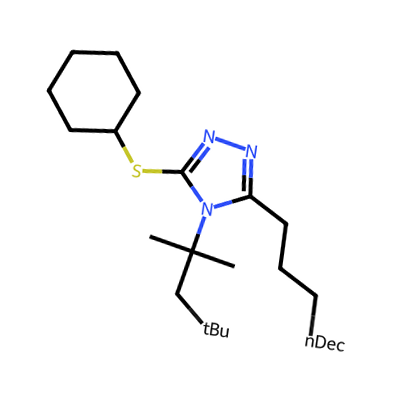 CCCCCCCCCCCCCc1nnc(SC2CCCCC2)n1C(C)(C)CC(C)(C)C